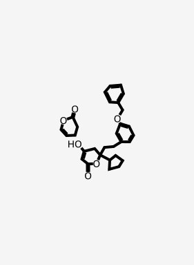 O=C1C=C(O)CC(CCc2cccc(OCc3ccccc3)c2)(C2CCCC2)O1.O=C1CCC=CO1